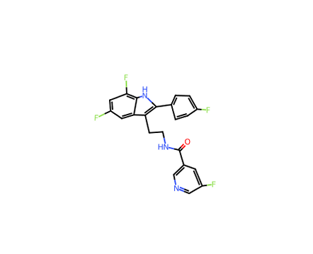 O=C(NCCc1c(-c2ccc(F)cc2)[nH]c2c(F)cc(F)cc12)c1cncc(F)c1